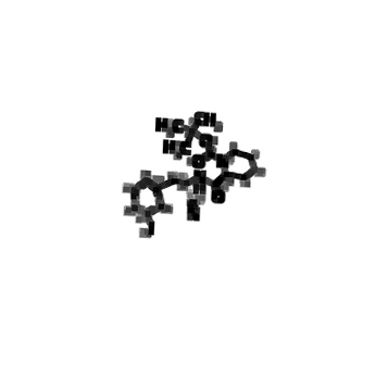 CC(C)(C)OC(=O)N1CCCC[C@H]1C(=O)N[C@H](C#N)Cc1cccc(I)c1